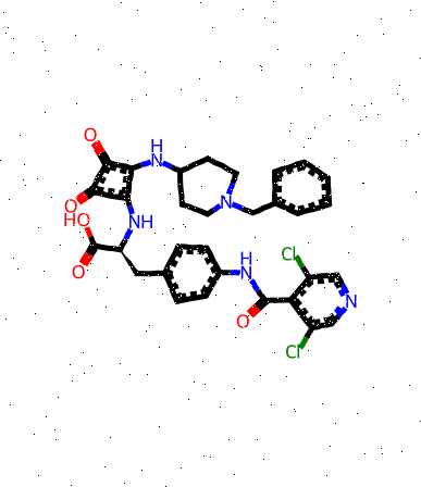 O=C(Nc1ccc(C[C@H](Nc2c(NC3CCN(Cc4ccccc4)CC3)c(=O)c2=O)C(=O)O)cc1)c1c(Cl)cncc1Cl